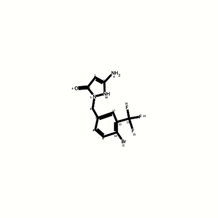 Nc1cc(=O)n(Cc2ccc(Br)c(C(F)(F)F)c2)[nH]1